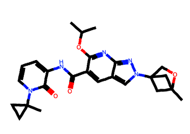 CC(C)Oc1nc2nn(C34COC(C)(C3)C4)cc2cc1C(=O)Nc1cccn(C2(C)CC2)c1=O